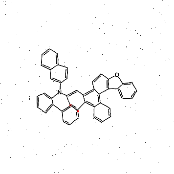 c1ccc(-c2ccccc2N(c2ccc3ccccc3c2)c2ccc3c4ccccc4c4c(ccc5oc6ccccc6c54)c3c2)cc1